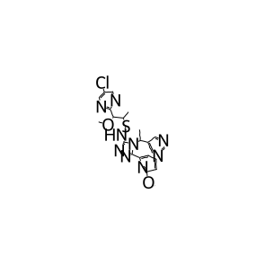 COc1cccc(-c2nnc(NSC(C)C(OC)c3ncc(Cl)cn3)n2C(C)c2cncnc2)n1